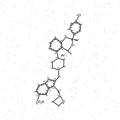 CC(C)[C@@]1(C)O[C@@](C)(c2ccc(Cl)cn2)Oc2cccc(C3CCN(Cc4nc5ccc(C(=O)O)cc5n4C[C@@H]4CCO4)CC3)c21